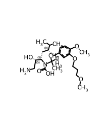 COCCCOc1cc(C[C@H](C[C@@H]([C@@H](O)CN)N(C(=O)O)C(C)(C)C)C(C)C)ccc1OC